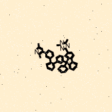 Cc1cnc(C)c(-c2cccc(-c3ccccc3-c3cccc(C4(c5ccccc5)c5ccccc5-c5ccc(-c6nc(C)nc(C)n6)cc54)c3)c2)c1